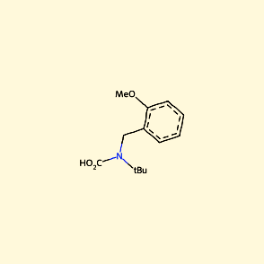 COc1ccccc1CN(C(=O)O)C(C)(C)C